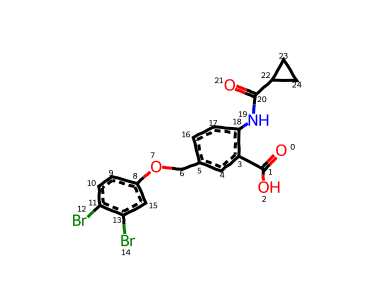 O=C(O)c1cc(COc2ccc(Br)c(Br)c2)ccc1NC(=O)C1CC1